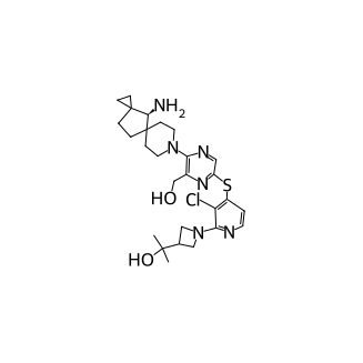 CC(C)(O)C1CN(c2nccc(Sc3cnc(N4CCC5(CC4)CCC4(CC4)[C@H]5N)c(CO)n3)c2Cl)C1